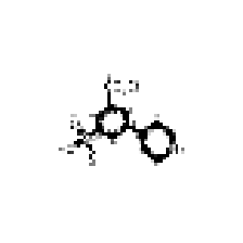 CCOC(=O)c1cc(-c2ccncc2)cc(S(=O)(=O)Cl)c1